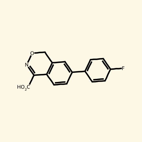 O=C(O)C1=NOCc2cc(-c3ccc(F)cc3)ccc21